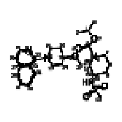 CC(C)OC(=O)N1CCC[C@H](NS(C)(=O)=O)[C@@H]1COC1CCN(c2nccc3ccccc23)CC1